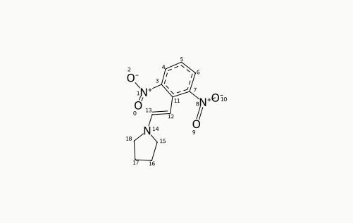 O=[N+]([O-])c1cccc([N+](=O)[O-])c1/C=C/N1CCCC1